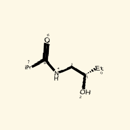 CC[C@H](O)CNC(=O)C(C)C